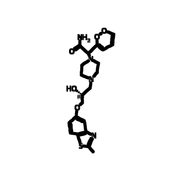 Cc1nc2cc(OC[C@H](O)CN3CCN(C(C(N)=O)C4=CC=COO4)CC3)ccc2s1